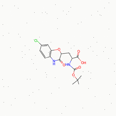 CC(C)(C)OC(=O)NC(CC1Oc2cc(Cl)ccc2NC1=O)C(=O)O